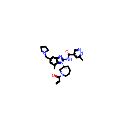 C=CC(=O)N1CCCC[C@@H](n2c(NC(=O)c3cnnc(C)c3)nc3cc(CN4CCCC4)cc(C)c32)C1